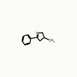 CC1CN=C(c2ccccc2)C1